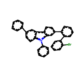 Brc1ccccc1-c1ccccc1-c1ccc2c3cc(-c4ccccc4)ccc3n(-c3ccccc3)c2c1